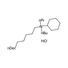 CCCCCCCCCCCCCCC[N+](CCC)(CCCC)C1CCCCC1.[OH-]